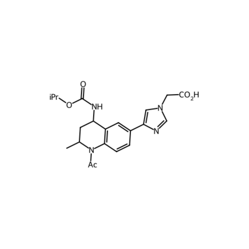 CC(=O)N1c2ccc(-c3cn(CC(=O)O)cn3)cc2C(NC(=O)OC(C)C)CC1C